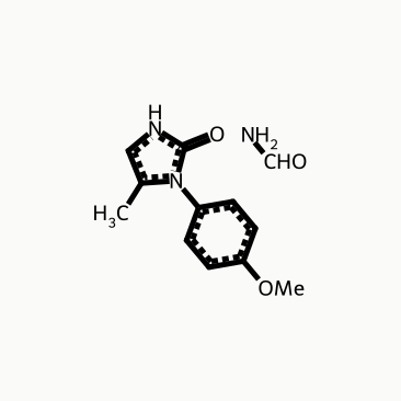 COc1ccc(-n2c(C)c[nH]c2=O)cc1.NC=O